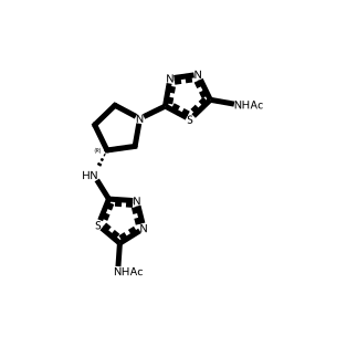 CC(=O)Nc1nnc(N[C@@H]2CCN(c3nnc(NC(C)=O)s3)C2)s1